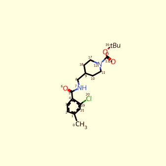 Cc1ccc(C(=O)NCC2CCN(C(=O)OC(C)(C)C)CC2)c(Cl)c1